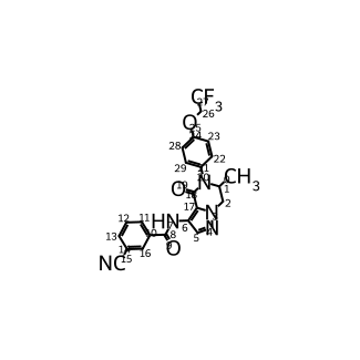 CC1Cn2ncc(NC(=O)c3cccc(C#N)c3)c2C(=O)N1c1ccc(OCC(F)(F)F)cc1